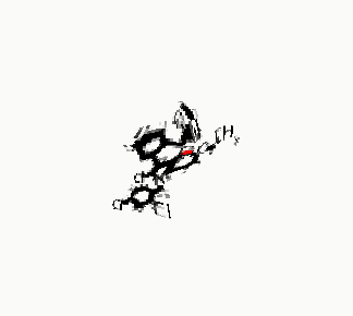 CCOc1ccc2c(c1)c(-c1ccccc1C(=O)c1ncco1)c(Cl)n2Cc1ccc(Cl)cc1Cl